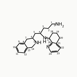 NCCCC(CC1Cc2ccccc2CN1)NC1CCCc2cccnc21